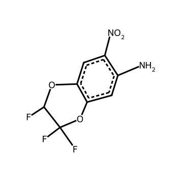 Nc1cc2c(cc1[N+](=O)[O-])OC(F)C(F)(F)O2